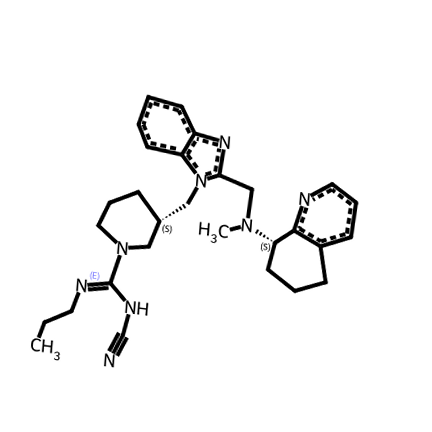 CCC/N=C(\NC#N)N1CCC[C@H](Cn2c(CN(C)[C@H]3CCCc4cccnc43)nc3ccccc32)C1